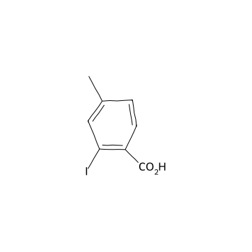 Cc1ccc(C(=O)O)c(I)c1